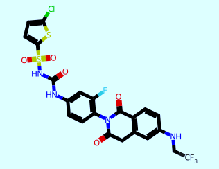 O=C(Nc1ccc(N2C(=O)Cc3cc(NCC(F)(F)F)ccc3C2=O)c(F)c1)NS(=O)(=O)c1ccc(Cl)s1